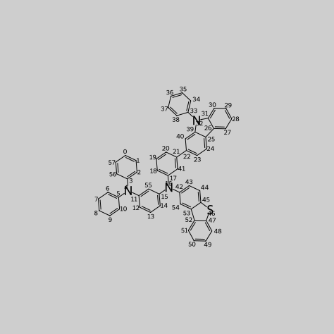 c1ccc(N(c2ccccc2)c2cccc(N(c3cccc(-c4ccc5c6ccccc6n(-c6ccccc6)c5c4)c3)c3ccc4sc5ccccc5c4c3)c2)cc1